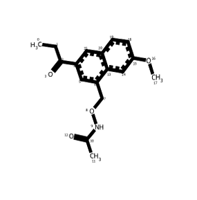 CCC(=O)c1cc(CONC(C)=O)c2cc(OC)ccc2c1